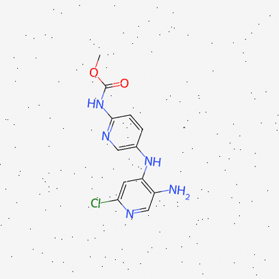 COC(=O)Nc1ccc(Nc2cc(Cl)ncc2N)cn1